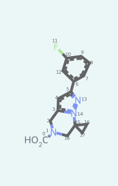 O=C(O)N1Cc2cc(-c3cccc(F)c3)nn2C2(CC2)C1